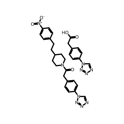 O=C(Cc1ccc(-n2cnnn2)cc1)N1CCC(CCc2ccc([N+](=O)[O-])cc2)CC1.O=C(O)Cc1ccc(-n2cnnn2)cc1